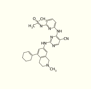 CN1CCc2c(cc(Nc3ncc(C#N)c(Nc4cccc(N=S(C)(C)=O)n4)n3)cc2C2=CCCCC2)C1